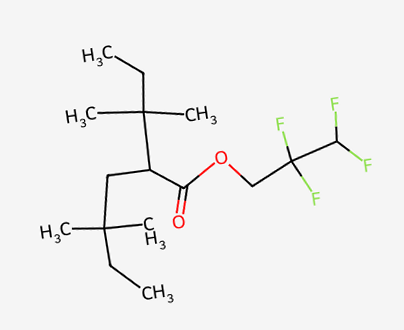 CCC(C)(C)CC(C(=O)OCC(F)(F)C(F)F)C(C)(C)CC